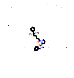 CC(C)[C@@](C#N)(CCCCC(=O)N1CCC[C@@H]1C(=O)N(C)Cc1ccccc1)c1ccccc1